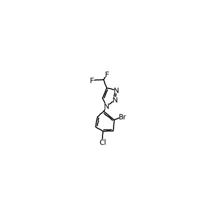 FC(F)c1cn(-c2ccc(Cl)cc2Br)nn1